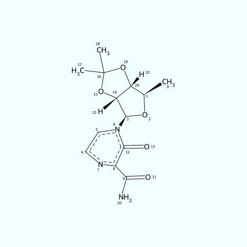 C[C@H]1O[C@@H](n2ccnc(C(N)=O)c2=O)[C@@H]2OC(C)(C)O[C@@H]21